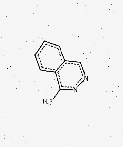 Pc1nncc2ccccc12